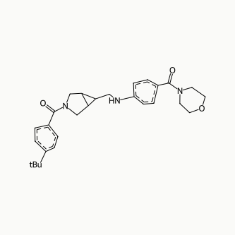 CC(C)(C)c1ccc(C(=O)N2CC3C(CNc4ccc(C(=O)N5CCOCC5)cc4)C3C2)cc1